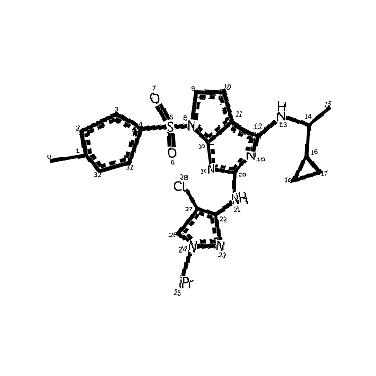 Cc1ccc(S(=O)(=O)n2ccc3c(NC(C)C4CC4)nc(Nc4nn(C(C)C)cc4Cl)nc32)cc1